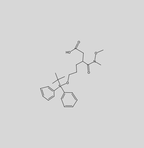 CON(C)C(=O)C(CCCO[Si](c1ccccc1)(c1ccccc1)C(C)(C)C)CC(=O)O